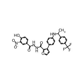 CC(Nc1ccc(-c2ccoc2C(=O)NNC(=O)c2ccc(O)c([N+](=O)[O-])c2)cc1)c1ccc(C(F)(F)F)cc1